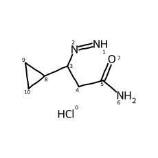 Cl.N=NC(CC(N)=O)C1CC1